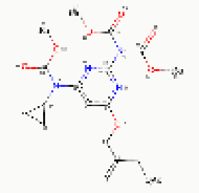 C=C(COC(C)=O)COc1cc(N(C(=O)OC(C)(C)C)C2CC2)nc(N(C(=O)OC(C)(C)C)C(=O)OC(C)(C)C)n1